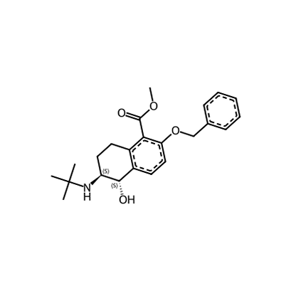 COC(=O)c1c(OCc2ccccc2)ccc2c1CC[C@H](NC(C)(C)C)[C@H]2O